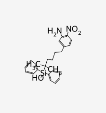 CC(C)(CCCCc1ccc([N+](=O)[O-])c(N)c1)[Si](O)(c1ccccc1)c1ccccc1